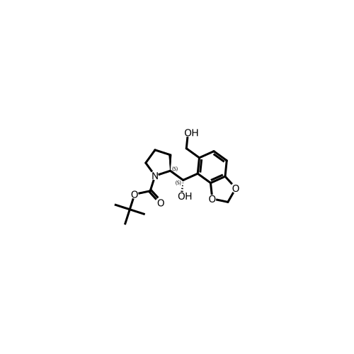 CC(C)(C)OC(=O)N1CCC[C@H]1[C@@H](O)c1c(CO)ccc2c1OCO2